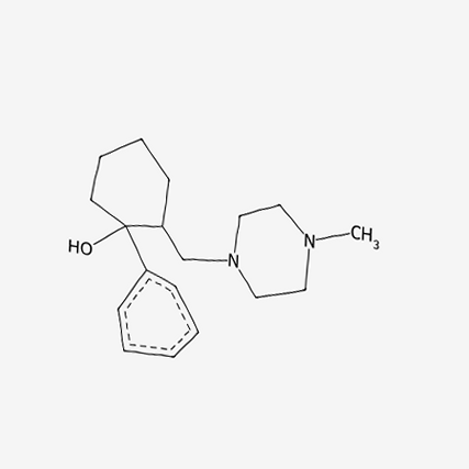 CN1CCN(CC2CCCCC2(O)c2ccccc2)CC1